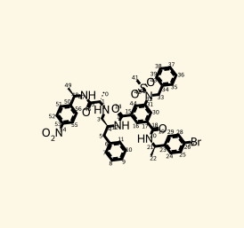 C[C@H](NC[C@H](Cc1ccccc1)NC(=O)c1cc(C(=O)N[C@H](C)c2ccc(Br)cc2)cc(N(Cc2ccccc2)S(C)(=O)=O)c1)C(=O)N[C@H](C)c1ccc([N+](=O)[O-])cc1